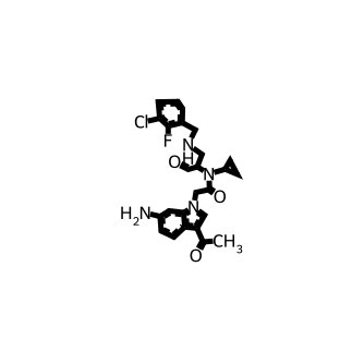 CC(=O)c1cn(CC(=O)N(C(C=O)CNCc2cccc(Cl)c2F)C2CC2)c2cc(N)ccc12